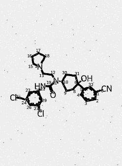 N#Cc1cccc([C@]2(O)CC[C@H](N(CCN3CCCC3)C(=O)Nc3cc(Cl)cc(Cl)c3)CC2)c1